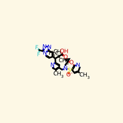 Cc1cnc2c(c1)[S+]([O-])N(Cc1cc(C(c3ccn4c(C(F)F)nnc4c3C)C(C)(C)C(=O)O)ncc1C)CC1(CC1)O2